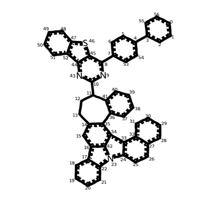 c1ccc(-c2ccc(-c3nc(C4CCc5cc6c7ccccc7n7c8ccc9ccccc9c8c(c5-c5ccccc54)c67)nc4c3sc3ccccc34)cc2)cc1